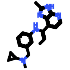 C/C=C(\Nc1cccc(CN(C)C2CC2)c1)c1ccnc2[nH]c(C)nc12